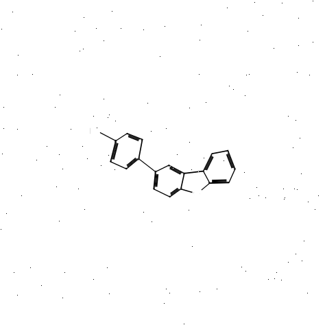 CCc1ccc(-c2ccc3oc4ccccc4c3c2)cc1